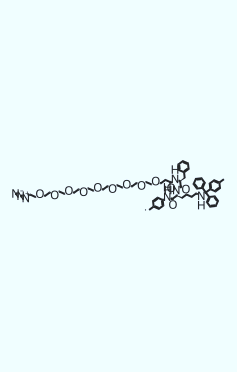 [CH2]c1ccc(NC(=O)[C@H](CCCCNC(c2ccccc2)(c2ccccc2)c2ccc(C)cc2)NC(=O)[C@H](Cc2ccccc2)NC(=O)CCOCCOCCOCCOCCOCCOCCOCCOCCOCCN=[N+]=[N-])cc1